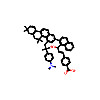 CN(C)c1ccc(C(C)(C)Cc2cc(-c3ccc4ccccc4c3C(O)C=Cc3ccc(C(=O)O)cc3)cc3ccc4c(c23)C(C)(C)CC2=C4C=CC(C)(C)C2)cc1